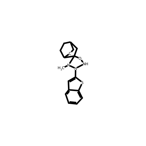 CN1N(c2cc3ccccc3s2)NOC12CC1CCC2CC1